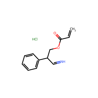 C=CC(=O)OCC(C=N)c1ccccc1.Cl